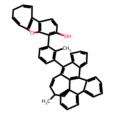 Cc1c(-c2c3c(c(-c4ccccc4-c4ccccc4)c4ccccc24)C=CC(C)C=C3)cccc1-c1c(O)ccc2c3c(oc12)C=CCC=C3